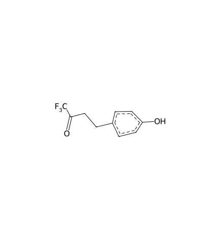 O=C(CCc1ccc(O)cc1)C(F)(F)F